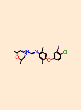 Cc1cc(Oc2ccc(Cl)c(I)c2)c(C)cc1N=CNN1CC(C)OC(C)C1